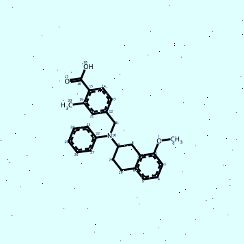 COc1cccc2c1CC(N(Cc1ccc(C(=O)O)c(C)c1)c1ccccc1)CC2